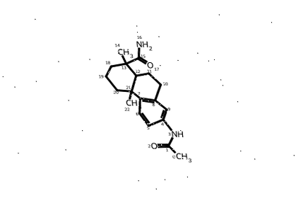 CC(=O)Nc1ccc2c(c1)CCC1C(C)(C(N)=O)CCCC21C